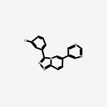 Clc1cccc(-c2nnc3ccc(-c4cncnc4)cn23)c1